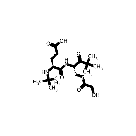 CC(C)(C)N[C@@H](CCC(=O)O)C(=O)N[C@@H](CSC(=O)CO)C(=O)C(C)(C)C